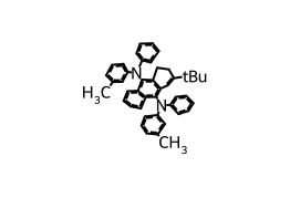 Cc1cccc(N(c2ccccc2)c2c3c(c(N(c4ccccc4)c4cccc(C)c4)c4ccccc24)CCC(C(C)(C)C)=C3)c1